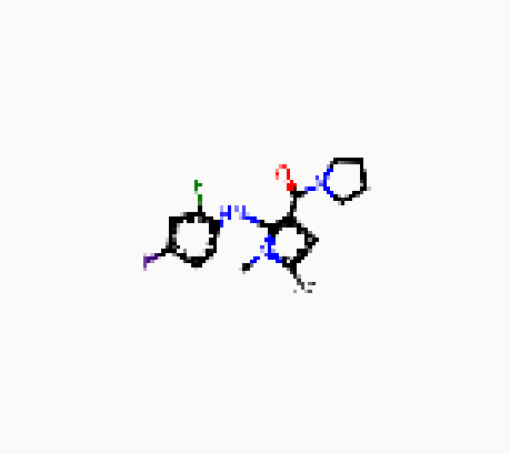 CC(=O)c1cc(C(=O)N2CCCC2)c(Nc2ccc(I)cc2F)n1C